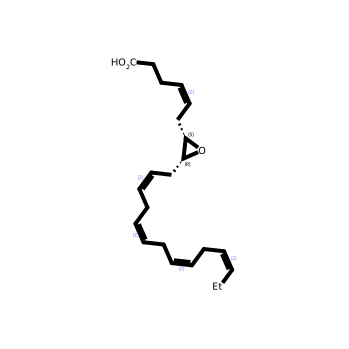 CC/C=C\C/C=C\C/C=C\C/C=C\C[C@H]1O[C@H]1C/C=C\CCC(=O)O